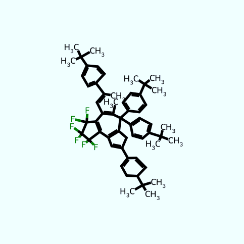 CC1=C(/C=C(\C)c2ccc(C(C)(C)C)cc2)C2=C(C3=C(CC(C4=CCC(C(C)(C)C)C=C4)=C3)C1(c1ccc(C(C)(C)C)cc1)c1ccc(C(C)(C)C)cc1)C(F)(F)C(F)(F)C2(F)F